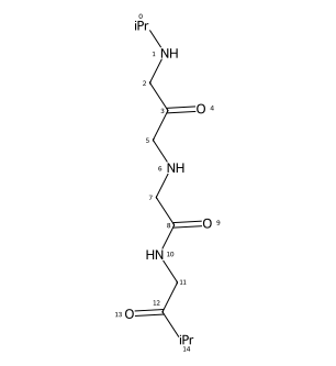 CC(C)NCC(=O)CNCC(=O)NCC(=O)C(C)C